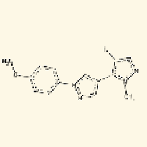 COc1ccc(-n2cc(-c3c(I)cnn3C)cn2)cc1